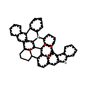 c1cc(-c2cccc3sc4ccccc4c23)cc(N(c2ccccc2-c2cccc3ccccc23)c2ccccc2-c2cccc3cccc(C4CCCCC4)c23)c1